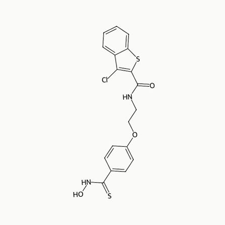 O=C(NCCOc1ccc(C(=S)NO)cc1)c1sc2ccccc2c1Cl